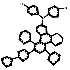 CC(C)(C)c1ccc(N(c2ccc(C(C)(C)C)cc2)c2ccc3c(c2)c2c(c4c(-c5ccccc5)cc(-c5ccc(-c6ccccc6)cc5)c(-c5ccccc5)c43)C=CCC2)cc1